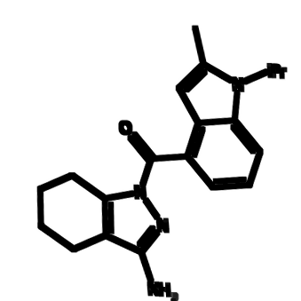 Cc1cc2c(C(=O)n3nc(N)c4c3CCCC4)cccc2n1C(C)C